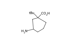 CC(C)(C)C1(C(=O)O)CCCC(N)C1